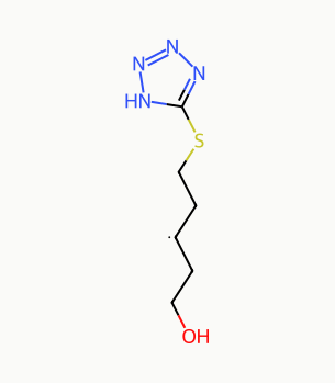 OCC[CH]CCSc1nnn[nH]1